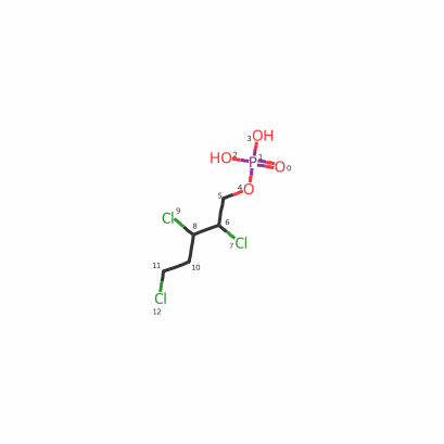 O=P(O)(O)OCC(Cl)C(Cl)CCCl